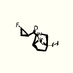 O=C(C1C[C@@H]1F)N1C[C@@H]2CCC1CNC2